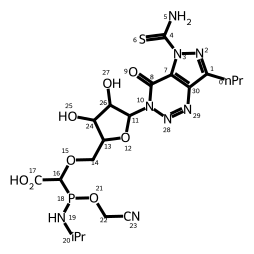 CCCc1nn(C(N)=S)c2c(=O)n(C3OC(COC(C(=O)O)P(NC(C)C)OCC#N)C(O)C3O)nnc12